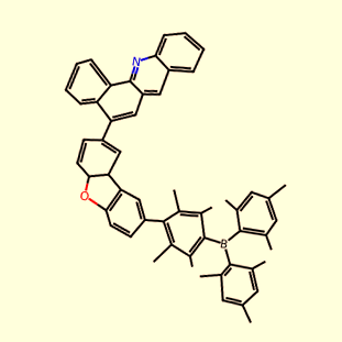 Cc1cc(C)c(B(c2c(C)cc(C)cc2C)c2c(C)c(C)c(-c3ccc4c(c3)C3C=C(c5cc6cc7ccccc7nc6c6ccccc56)C=CC3O4)c(C)c2C)c(C)c1